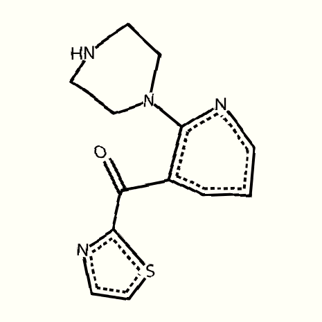 O=C(c1nccs1)c1cccnc1N1CCNCC1